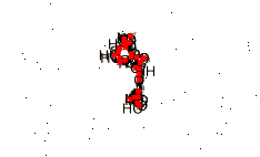 CO[C@]1(C)C[C@@H](C)C(=O)[C@@H](O)[C@@]2(O)CC[C@H]2OC(=O)[C@H](C)[C@@H](O[C@H]2C[C@@](C)(OC)[C@@H](OC(=O)NCCOCCCc3ccc4c(c3)c(=O)c(C(=O)O)cn4N(C)C)[C@H](C)O2)[C@H](C)[C@H]1O[C@@H]1O[C@H](C)C[C@H](N(C)C)[C@H]1O